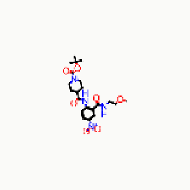 COCCNC(=O)c1cc([N+](=O)[O-])ccc1NC(=O)C1CCN(C(=O)OC(C)(C)C)CC1